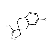 CCC1(C(=O)O)CCc2ccc(Cl)cc2C1